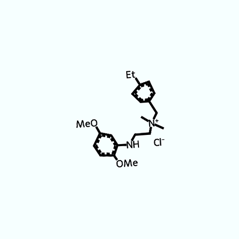 CCc1ccc(C[N+](C)(C)CCNc2cc(OC)ccc2OC)cc1.[Cl-]